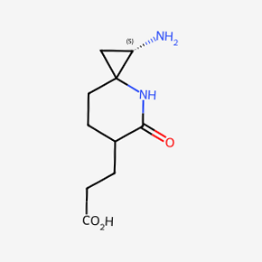 N[C@H]1CC12CCC(CCC(=O)O)C(=O)N2